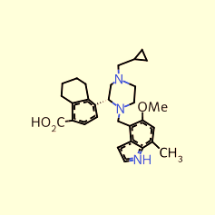 COc1cc(C)c2[nH]ccc2c1CN1CCN(CC2CC2)C[C@H]1c1ccc(C(=O)O)c2c1CCCC2